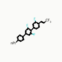 CCCc1ccc(-c2cc(F)c(-c3ccc(/C=C/C(F)(F)F)c(F)c3)c(F)c2)cc1